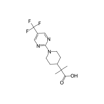 CC(C)(C(=O)O)C1CCN(c2ncc(C(F)(F)F)cn2)CC1